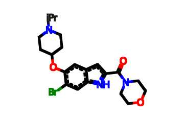 CC(C)N1CCC(Oc2cc3cc(C(=O)N4CCOCC4)[nH]c3cc2Br)CC1